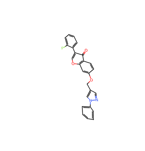 O=c1c(-c2ccccc2F)coc2cc(OCc3cnn(-c4ccccc4)c3)ccc12